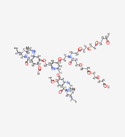 C/C=C1\C[C@H]2C=Nc3cc(OCc4cc(OCCN(CCOCCOCCOCCC(C)=O)C(=O)CCOCCOCCOCCOC)cc(COc5cc6c(cc5OC)C(=O)N5C/C(=C/C)C[C@H]5C=N6)n4)c(OC)cc3C(=O)N2C1